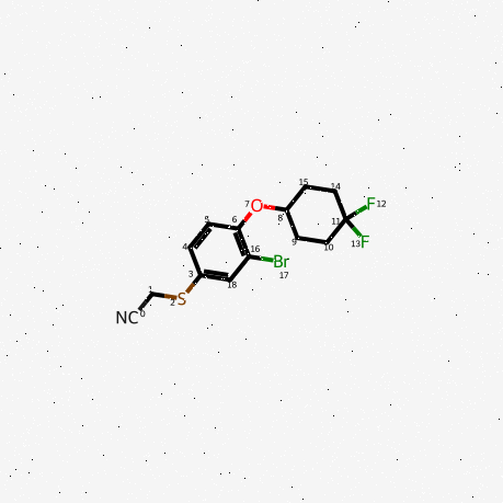 N#CCSc1ccc(OC2CCC(F)(F)CC2)c(Br)c1